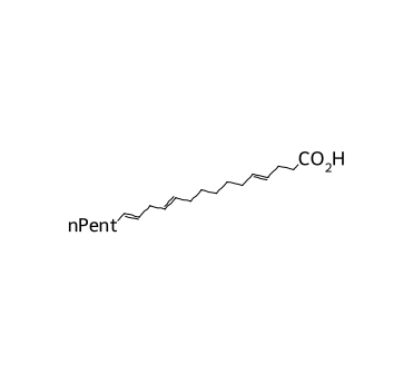 CCCCC/C=C/C/C=C/CCCCC/C=C/CCC(=O)O